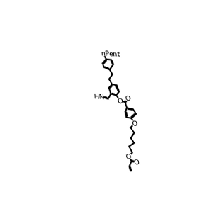 C=CC(=O)OCCCCCCOc1ccc(C(=O)Oc2ccc(CCc3ccc(CCCCC)cc3)cc2C=N)cc1